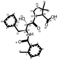 Cc1ccccc1C(=O)N[C@@H](Cc1ccccc1)[C@H](O)C(=O)N1CSC(C)(C)C1C(=O)O